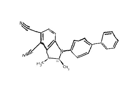 C[C@H]1N(C)c2c(ccc(C#N)c2C#N)N1c1ccc(-c2ccccc2)cc1